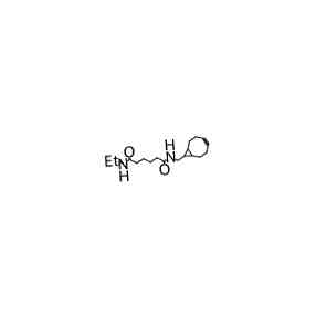 CCNC(=O)CCCCC(=O)NCC1C2CCC#CCCC21